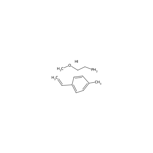 C=Cc1ccc(C)cc1.COCCP.I